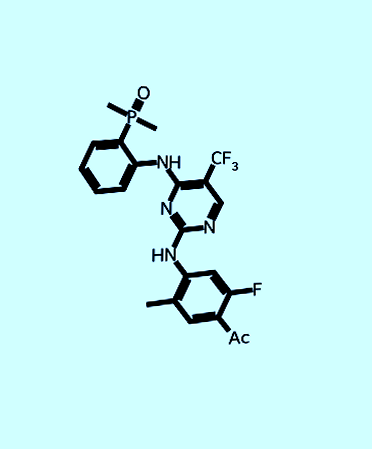 CC(=O)c1cc(C)c(Nc2ncc(C(F)(F)F)c(Nc3ccccc3P(C)(C)=O)n2)cc1F